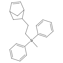 C[Si](CCC1CC2C=CC1C2)(c1ccccc1)c1ccccc1